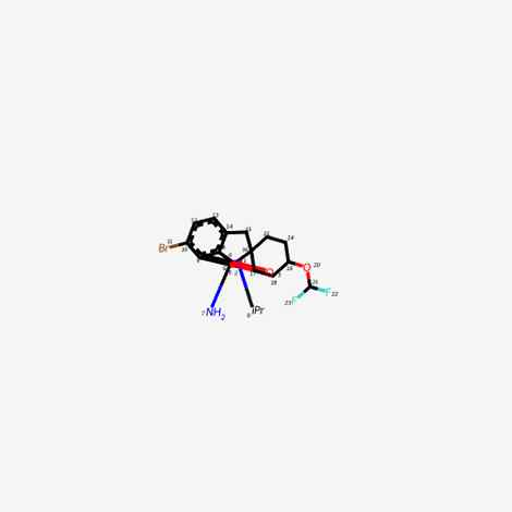 CC(C)N1C(=O)C2(N=C1N)c1cc(Br)ccc1CC21CCC(OC(F)F)CC1